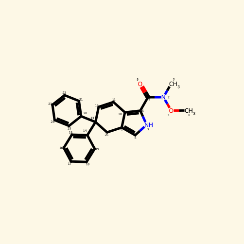 CON(C)C(=O)c1[nH]cc2c1C=CC(c1ccccc1)(c1ccccc1)C2